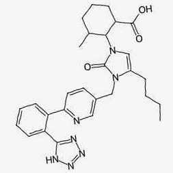 CCCCc1cn(C2C(C)CCCC2C(=O)O)c(=O)n1Cc1ccc(-c2ccccc2-c2nnn[nH]2)nc1